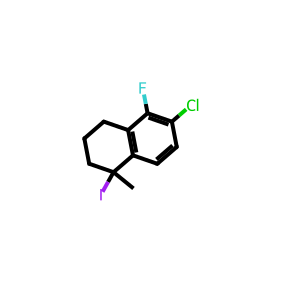 CC1(I)CCCc2c1ccc(Cl)c2F